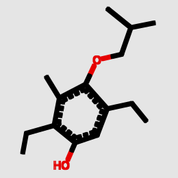 CCc1cc(O)c(CC)c(C)c1OCC(C)C